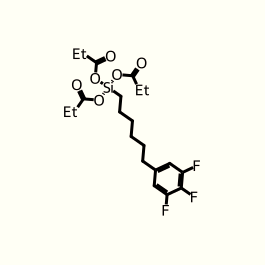 CCC(=O)O[Si](CCCCCCc1cc(F)c(F)c(F)c1)(OC(=O)CC)OC(=O)CC